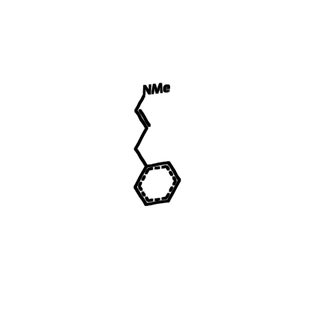 CNC=CCc1ccccc1